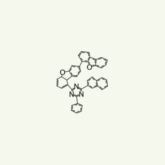 C1=CC2Oc3cc(-c4cccc5c4oc4ccccc45)ccc3C2C(c2nc(-c3ccccc3)nc(-c3ccc4ccccc4c3)n2)=C1